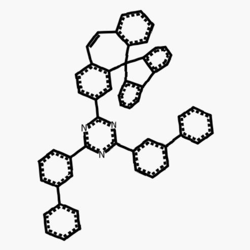 C1=Cc2ccc(-c3nc(-c4cccc(-c5ccccc5)c4)nc(-c4cccc(-c5ccccc5)c4)n3)cc2C2(c3ccccc31)c1ccccc1-c1ccccc12